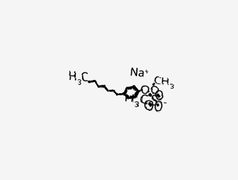 CCCCCCCCc1ccc(OC(C)(OCC)S(=O)(=O)[O-])cc1.[Na+]